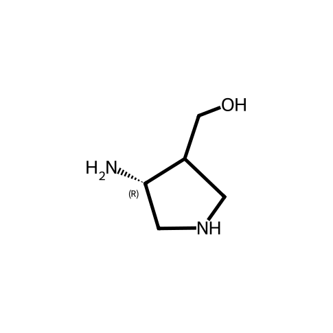 N[C@H]1CNCC1CO